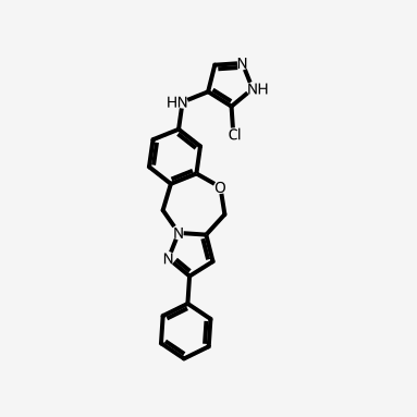 Clc1[nH]ncc1Nc1ccc2c(c1)OCc1cc(-c3ccccc3)nn1C2